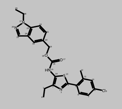 CCc1nc(-c2ccc(Cl)cc2C)sc1NC(=O)OCc1ccc2c(cnn2CC)c1